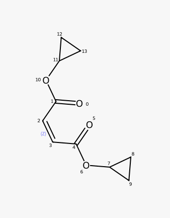 O=C(/C=C\C(=O)OC1CC1)OC1CC1